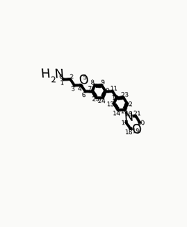 NCCCC(=O)Cc1ccc(Cc2ccc(N3CCOCC3)cc2)cc1